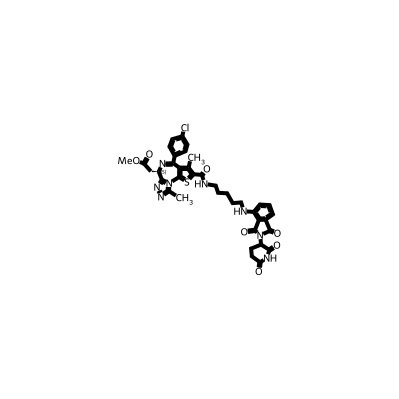 COC(=O)C[C@@H]1N=C(c2ccc(Cl)cc2)c2c(sc(C(=O)NCCCCCNc3cccc4c3C(=O)N(C3CCC(=O)NC3=O)C4=O)c2C)-n2c(C)nnc21